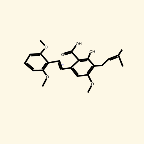 COc1cccc(OC)c1/C=C/c1cc(OC)c(CC=C(C)C)c(O)c1C(=O)O